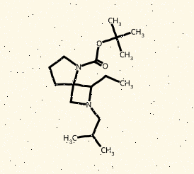 CCC1N(CC(C)C)CC12CCCN2C(=O)OC(C)(C)C